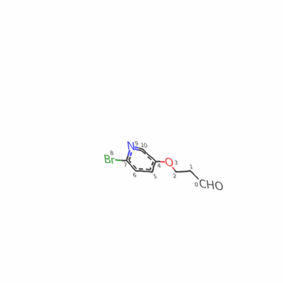 O=CCCOc1ccc(Br)nc1